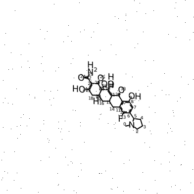 CN1CCCC1c1cc(O)c2c(c1F)CC1C[C@H]3CC(O)=C(C(N)=O)C(=O)[C@@]3(O)C(O)=C1C2=O